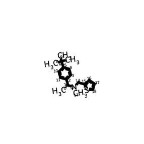 C[C@H](c1ccc(C(C)(C)C)cc1)N(C)Cc1cccs1